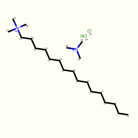 CCCCCCCCCCCCCCCC[N+](C)(C)C.CN(C)C.Cl.[Cl-]